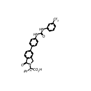 CC(C)[C@H](C(=O)O)N1Cc2cc(-c3ccc(NC(=O)Nc4cccc(C(F)(F)F)c4)cc3)ccc2C1=O